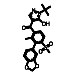 Cc1c(C(=O)c2cnn(C(C)(C)C)c2O)ccc(S(C)(=O)=O)c1-c1ccc2c(c1)OCO2